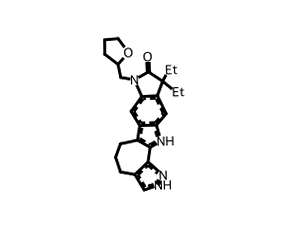 CCC1(CC)C(=O)N(CC2CCCO2)c2cc3c4c([nH]c3cc21)-c1n[nH]cc1CCC4